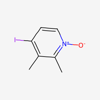 Cc1c(I)cc[n+]([O-])c1C